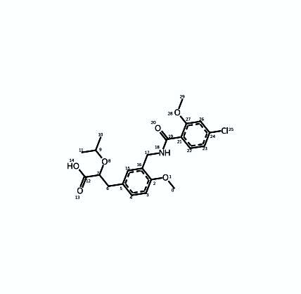 COc1ccc(CC(OC(C)C)C(=O)O)cc1CNC(=O)c1ccc(Cl)cc1OC